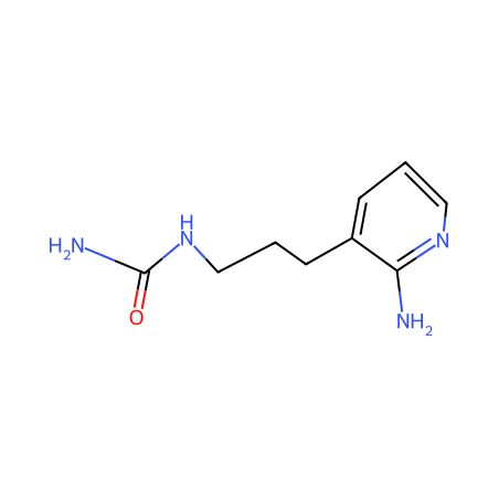 NC(=O)NCCCc1cccnc1N